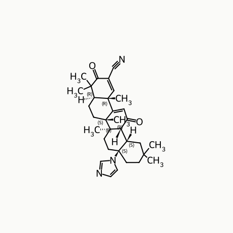 CC1(C)CC[C@]2(n3ccnc3)CC[C@]3(C)[C@H](C(=O)C=C4[C@@]5(C)C=C(C#N)C(=O)C(C)(C)[C@@H]5CC[C@]43C)[C@@H]2C1